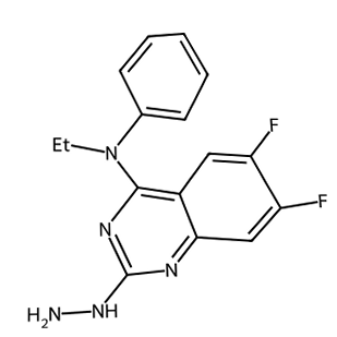 CCN(c1ccccc1)c1nc(NN)nc2cc(F)c(F)cc12